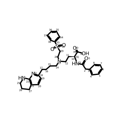 O=C(Cc1ccccc1)N[C@@H](CCN(CCCCc1ccc2c(n1)NCCC2)CCS(=O)(=O)c1ccccc1)C(=O)O